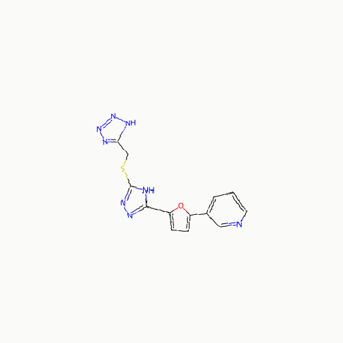 c1cncc(-c2ccc(-c3nnc(SCc4nnn[nH]4)[nH]3)o2)c1